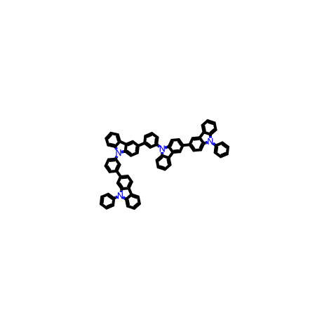 c1ccc(-n2c3ccccc3c3cc(-c4ccc5c(c4)c4ccccc4n5-c4cccc(-c5ccc6c(c5)c5ccccc5n6-c5cccc(-c6ccc7c8ccccc8n(-c8ccccc8)c7c6)c5)c4)ccc32)cc1